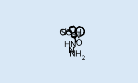 CS(=O)(=O)O.NN=CNC(=O)c1cc2c(Cl)ccc3c2n1CCCCC3